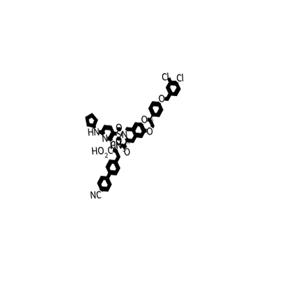 Cc1nc(NC2CCCC2)ccc1S(=O)(=O)N1Cc2cc3c(cc2C[C@H]1C(=O)NC(Cc1ccc(-c2ccc(C#N)cc2)cc1)C(=O)O)OC[C@H](c1ccc(OCc2ccc(Cl)c(Cl)c2)cc1)O3